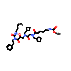 C=CCCNC(=O)N(CCc1ccccc1)C(=O)C(=O)CN(CC1CCC1)C(=O)CN(CC1CCCC1)C(=O)C=CCCCNC(=O)OC(C)(C)C